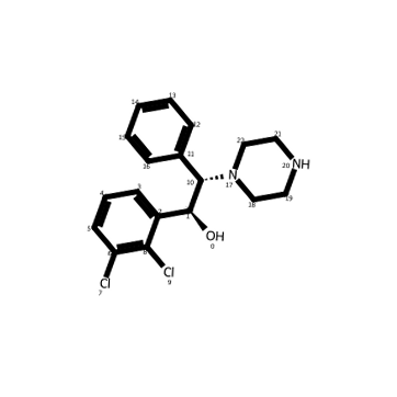 O[C@@H](c1cccc(Cl)c1Cl)[C@H](c1ccccc1)N1CCNCC1